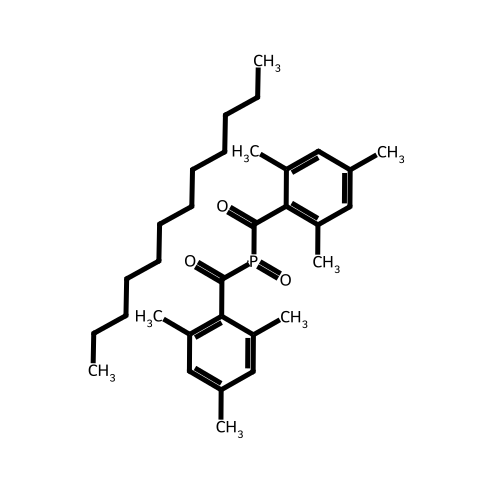 CCCCCCCCCCCC.Cc1cc(C)c(C(=O)[P](=O)C(=O)c2c(C)cc(C)cc2C)c(C)c1